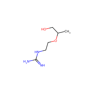 CC(CO)OCCNC(=N)N